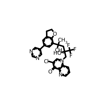 CC(C)(CC(O)(Cn1cc(Cl)c(=O)c2ncccc21)C(F)(F)F)c1cc(-c2cncnc2)cc2c1OCC2